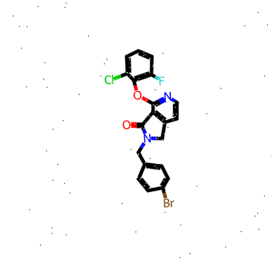 O=C1c2c(ccnc2Oc2c(F)cccc2Cl)CN1Cc1ccc(Br)cc1